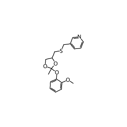 COc1ccccc1OC1(C)OCC(CSCc2cccnc2)O1